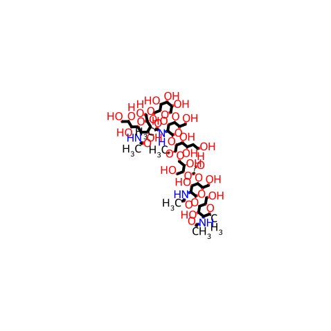 CO[C@H](OC[C@H](O)C(CO)O[C@H](CO)O[C@@H]1C(CO)O[C@@H](O[C@@H]2C(CO)O[C@@H](C)C(NC(C)=O)C2O)C(NC(C)=O)C1O)C(O[C@@H]1OC(CO)[C@@H](O[C@@H]2OC(CO[C@]3(C(=O)O)CC(O)[C@@H](NC(C)=O)C([C@@H](O)[C@H](O)CO)O3)[C@H](O)C(O)C2O)C(O)C1NC(C)=O)C(O)[C@H](O)CCO